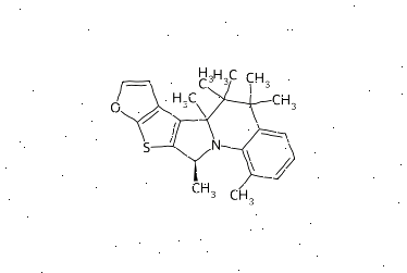 Cc1cccc2c1N1[C@@H](C)c3sc4occc4c3C1(C)C(C)(C)C2(C)C